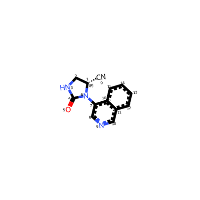 N#C[C@H]1CNC(=O)N1c1cncc2ccccc12